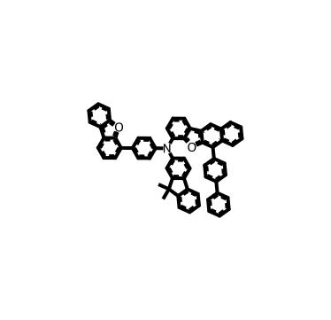 CC1(C)c2ccccc2-c2ccc(N(c3ccc(-c4cccc5c4oc4ccccc45)cc3)c3cccc4c3oc3c(-c5ccc(-c6ccccc6)cc5)c5ccccc5cc34)cc21